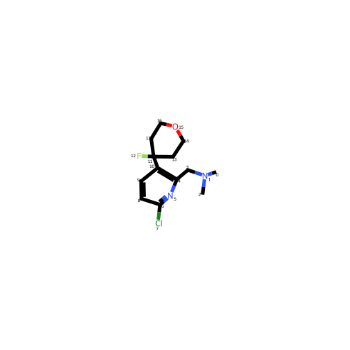 CN(C)Cc1nc(Cl)ccc1C1(F)CCOCC1